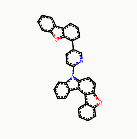 c1ccc2c(c1)oc1c(-c3ccc(-n4c5ccccc5c5c6c(ccc54)oc4ccccc46)nc3)cccc12